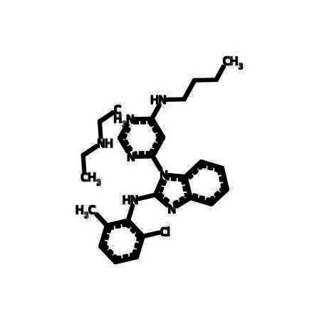 CCCCNc1cc(-n2c(Nc3c(C)cccc3Cl)nc3ccccc32)ncn1.CCNCC